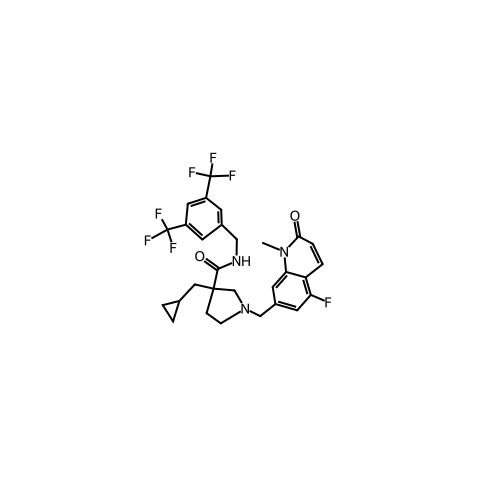 Cn1c(=O)ccc2c(F)cc(CN3CCC(CC4CC4)(C(=O)NCc4cc(C(F)(F)F)cc(C(F)(F)F)c4)C3)cc21